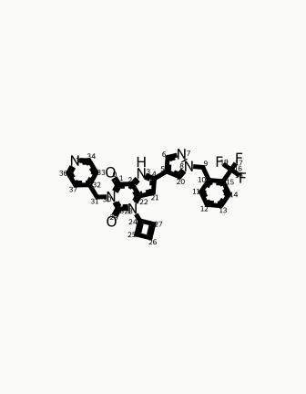 O=c1c2[nH]c(-c3cnn(Cc4ccccc4C(F)(F)F)c3)cc2n(C2=CC=C2)c(=O)n1Cc1ccncc1